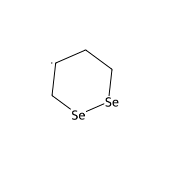 [CH]1CC[Se][Se]C1